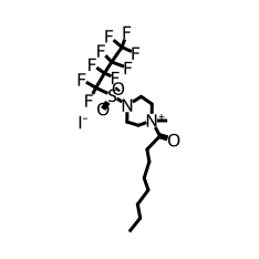 CCCCCCCC(=O)[N+]1(C)CCN(S(=O)(=O)C(F)(F)C(F)(F)C(F)(F)C(F)(F)F)CC1.[I-]